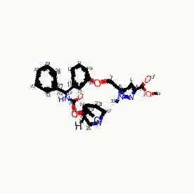 COC(=O)c1cc(COc2cccc([C@@H](NC(=O)O[C@H]3CN4CCC3CC4)c3ccccc3)c2)n(C)n1